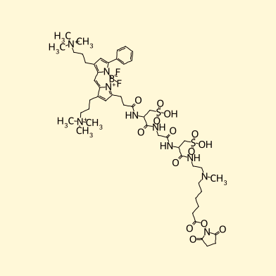 CN(CCCCCC(=O)ON1C(=O)CCC1=O)CCNC(=O)C(CS(=O)(=O)O)NC(=O)CNC(=O)C(CS(=O)(=O)O)NC(=O)CCC1=[N+]2C(=Cc3c(CCC[N+](C)(C)C)cc(-c4ccccc4)n3[B-]2(F)F)C(CCC[N+](C)(C)C)=C1